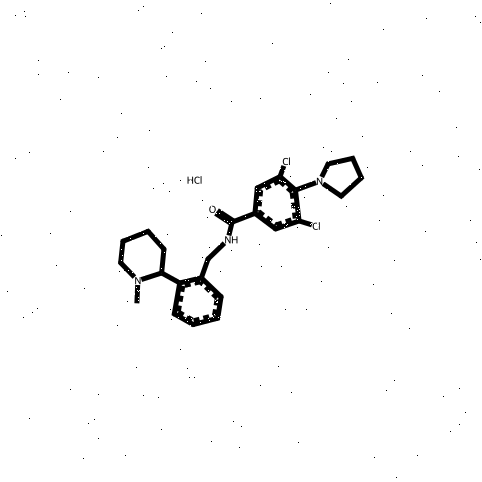 CN1CCCCC1c1ccccc1CNC(=O)c1cc(Cl)c(N2CCCC2)c(Cl)c1.Cl